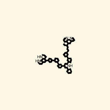 C=C/C(=C\C=C\c1cccc(C2C=C(/C=C/C(=C\C(=N)C3=CC=CCC3)C3C=C(c4cccc(-c5ccc(-c6cc7c(c8c6C=CCN8)NCC=C7)cc5)c4)C=CC3)C=CC2)c1)c1cc2cccnc2c2ncccc12